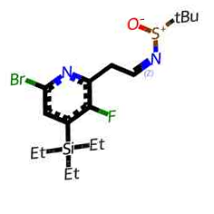 CC[Si](CC)(CC)c1cc(Br)nc(C/C=N\[S+]([O-])C(C)(C)C)c1F